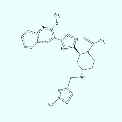 COc1nc2ccccc2cc1-c1cnc([C@@H]2C[C@@H](NCc3ccn(C)n3)CCN2C(C)=O)[nH]1